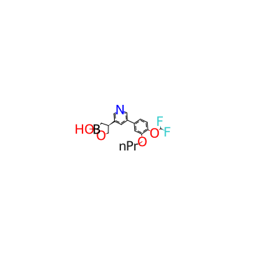 CCCOc1cc(-c2cncc([C@H]3COB(O)C3)c2)ccc1OC(F)F